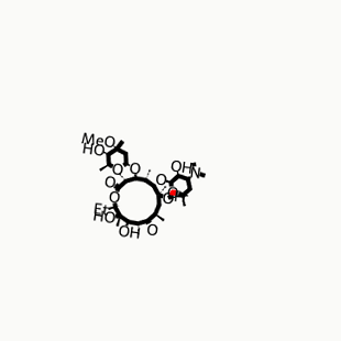 CC[C@H]1OC(=O)[C@H](C)[C@@H](O[C@H]2C[C@@](C)(OC)[C@@H](O)[C@H](C)O2)[C@H](C)[C@@H](O[C@@H]2O[C@H](C)C[C@H](N(C)C)[C@H]2O)[C@@](C)(OC(C)C)C[C@@H](C)C(=O)[C@H](C)[C@@H](O)[C@]1(C)O